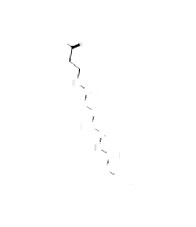 BBBBBBBBBBCCC(=O)O